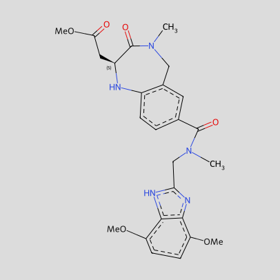 COC(=O)C[C@@H]1Nc2ccc(C(=O)N(C)Cc3nc4c(OC)ccc(OC)c4[nH]3)cc2CN(C)C1=O